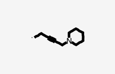 [CH2]CC#CCN1CCCCC1